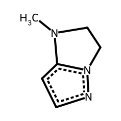 CN1CCn2nccc21